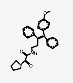 COc1ccc(/C(=C(/CCNC(=O)C(=O)N2CCCC2)c2ccccc2)c2ccccc2)cc1